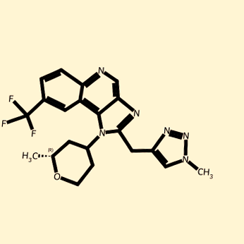 C[C@@H]1CC(n2c(Cc3cn(C)nn3)nc3cnc4ccc(C(F)(F)F)cc4c32)CCO1